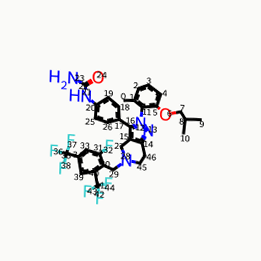 Cc1cccc(OCC(C)C)c1-n1nc2c(c1-c1ccc(NC(N)=O)cc1)CN(Cc1c(F)cc(C(F)(F)F)cc1C(F)(F)F)CC2